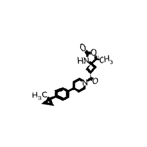 C[C@@H]1OC(=O)N[C@]12C[C@@H](C(=O)N1CCC(c3ccc(C4(C)CC4)cc3)CC1)C2